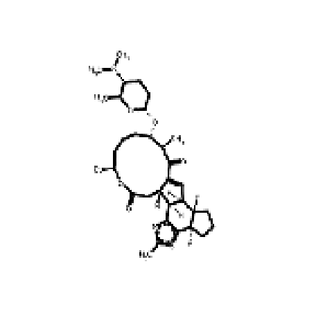 CC[C@H]1CCC[C@H](O[C@H]2CC[C@H](N(C)C)C(C)O2)[C@@H](C)C(=O)C2=C[C@H]3[C@@H]4CCC[C@H]4c4sc(C)nc4[C@H]3[C@@H]2CC(=O)O1